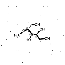 CO[C@H](CO)[C@H](O)[C@@H](O)CO